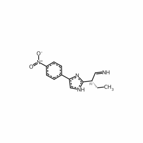 CC[C@@H](C=N)c1nc(-c2ccc([N+](=O)[O-])cc2)c[nH]1